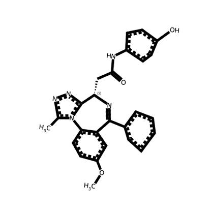 COc1ccc2c(c1)C(c1ccccc1)=N[C@@H](CC(=O)Nc1ccc(O)cc1)c1nnc(C)n1-2